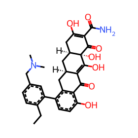 CCc1ccc(CN(C)C)cc1-c1ccc(O)c2c1C[C@H]1C[C@H]3CC(O)=C(C(N)=O)C(=O)[C@@]3(O)C(O)=C1C2=O